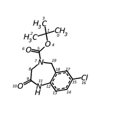 CC(C)(C)OC(=O)N1CC(=O)Nc2ccc(Cl)cc2C1